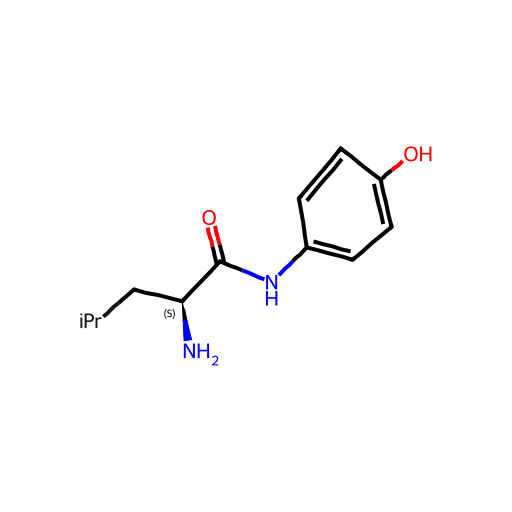 CC(C)C[C@H](N)C(=O)Nc1ccc(O)cc1